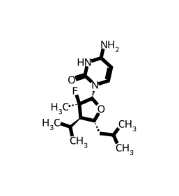 CC(C)C[C@H]1O[C@@H](N2C=CC(N)NC2=O)[C@](C)(F)[C@@H]1C(C)C